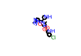 CC1CN(S(=O)(=O)c2cc3ccc(Cl)cc3[nH]2)CC(=O)N1C(c1ccnc(N(C)C)n1)C1CCNCC1